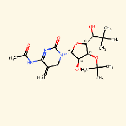 CC(=O)NC1=NC(=O)N([C@@H]2O[C@H](C(O)C(C)(C)C)[C@@H](OC(C)(C)C)[C@H]2O)CC1=[SiH2]